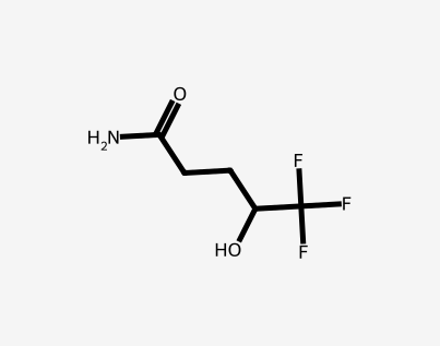 NC(=O)CCC(O)C(F)(F)F